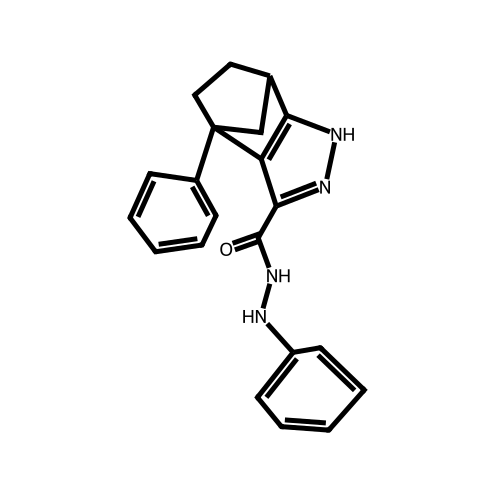 O=C(NNc1ccccc1)c1n[nH]c2c1C1(c3ccccc3)CCC2C1